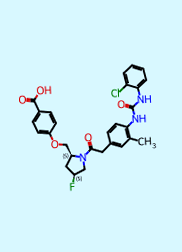 Cc1cc(CC(=O)N2C[C@@H](F)C[C@H]2COc2ccc(C(=O)O)cc2)ccc1NC(=O)Nc1ccccc1Cl